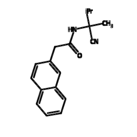 CC(C)C(C)(C#N)NC(=O)Cc1ccc2ccccc2c1